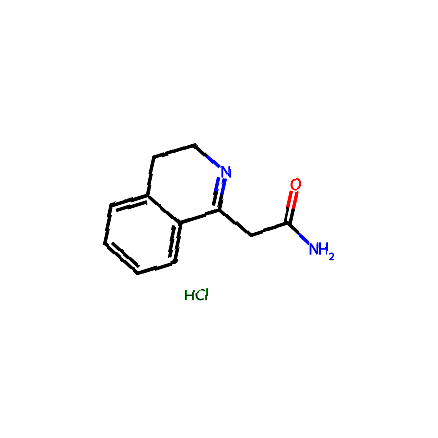 Cl.NC(=O)CC1=NCCc2ccccc21